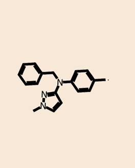 [CH2]c1ccc(N(Cc2ccccc2)c2ccn(C)n2)cc1